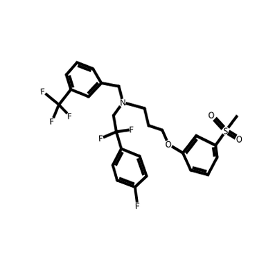 CS(=O)(=O)c1cccc(OCCCN(Cc2cccc(C(F)(F)F)c2)CC(F)(F)c2ccc(F)cc2)c1